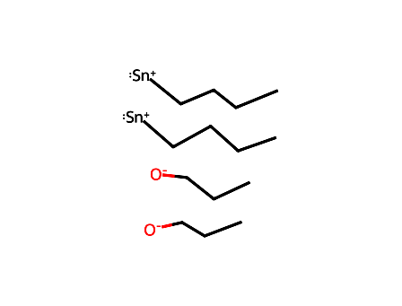 CCC[CH2][Sn+].CCC[CH2][Sn+].CCC[O-].CCC[O-]